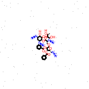 C[C@H](O)C(CO)O[C@H](O[C@@H]1C(N=[N+]=[N-])C[C@@H](N=[N+]=[N-])[C@@H](O)C1O)[C@H](COC1O[C@H](CN=[N+]=[N-])[C@H](OC(=O)c2ccccc2)C1OC(=O)c1ccccc1)N=[N+]=[N-]